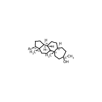 CC(=O)[C@H]1CC[C@H]2[C@@H]3CC[C@H]4CC[C@@](C)(O)CC[C@]4(C)[C@H]3CC[C@]12C